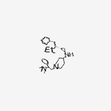 CC/C(=C\c1ccccc1)[C@@H]1C[C@H]1NC1CCN(CC(=O)N(C)C)CC1